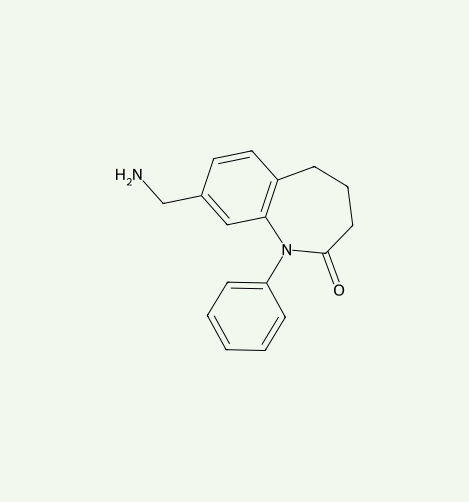 NCc1ccc2c(c1)N(c1ccccc1)C(=O)CCC2